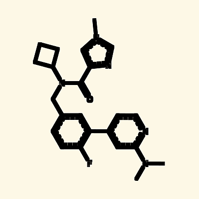 CN(C)c1cc(-c2cc(CN(C(=O)c3cn(C)cn3)C3CCC3)ccc2F)ccn1